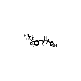 CNC(=O)NS(=O)(=O)c1cc(CC(=O)NC(C)(C)c2cc[nH]c2)ccc1SC